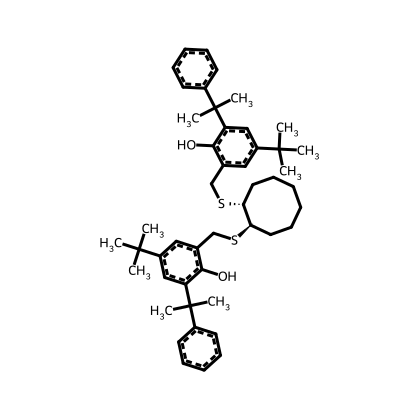 CC(C)(C)c1cc(CS[C@@H]2CCCCCC[C@H]2SCc2cc(C(C)(C)C)cc(C(C)(C)c3ccccc3)c2O)c(O)c(C(C)(C)c2ccccc2)c1